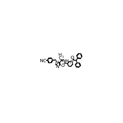 C[C@H](NC(=O)C1CCCN(C(=O)C(c2ccccc2)c2ccccc2)C1)c1cncn1Cc1ccc(C#N)cc1